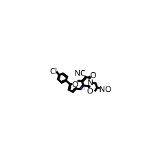 CC1=C(C#N)C(=O)N(CC(C)N=O)C(=O)/C1=C/c1ccc(-c2ccc(Cl)cc2)o1